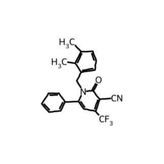 Cc1cccc(Cn2c(-c3ccccc3)cc(C(F)(F)F)c(C#N)c2=O)c1C